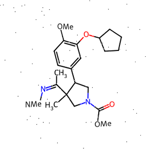 CNN=C(C)C1(C)CN(C(=O)OC)CC1c1ccc(OC)c(OC2CCCC2)c1